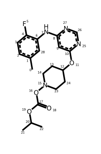 Cc1ccc(F)c(Nc2cc(OC3CCN(OC(=O)OC(C)C)CC3)ncn2)c1